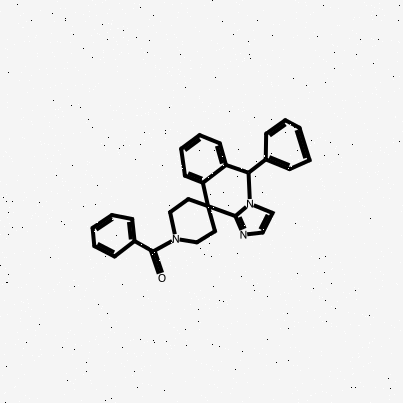 O=C(c1ccccc1)N1CCC2(CC1)c1ccccc1C(c1ccccc1)n1ccnc12